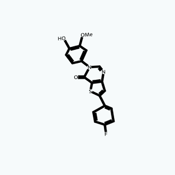 COc1cc(-n2cnc3cc(-c4ccc(F)cc4)sc3c2=O)ccc1O